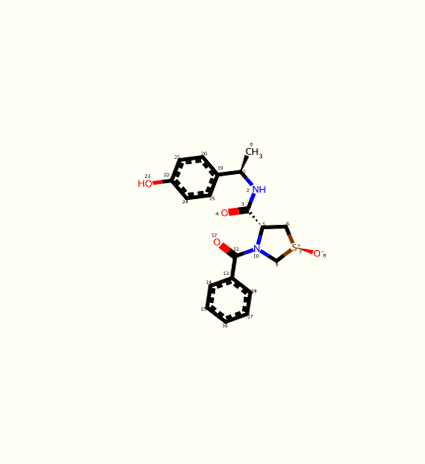 C[C@@H](NC(=O)[C@@H]1C[S@@+]([O-])CN1C(=O)c1ccccc1)c1ccc(O)cc1